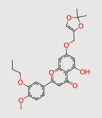 CCCOc1cc(-c2cc(=O)c3c(O)cc(OCC4=COC(C)(C)O4)cc3o2)ccc1OC